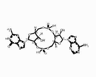 Nc1nc2c(ncn2[C@@H]2O[C@@H]3COP(=O)(S)O[C@H]4[C@@H](O)[C@H](n5cnc6c(N)ncnc65)O[C@@H]4COP(=O)(S)O[C@@H]2[C@@H]3O)c(=O)[nH]1